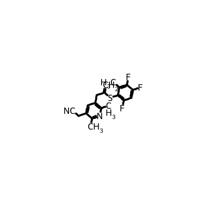 C=C(Cc1cc(CC#N)c(C)nc1C)Sc1c(F)cc(F)c(F)c1C